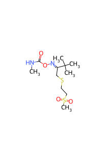 CNC(=O)ON=C(CSCCS(C)(=O)=O)C(C)(C)C